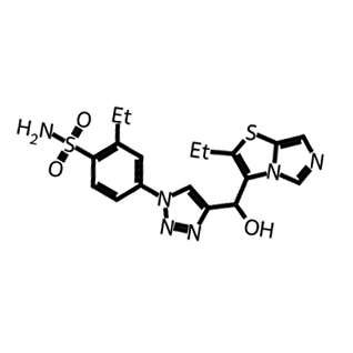 CCc1cc(-n2cc(C(O)c3c(CC)sc4cncn34)nn2)ccc1S(N)(=O)=O